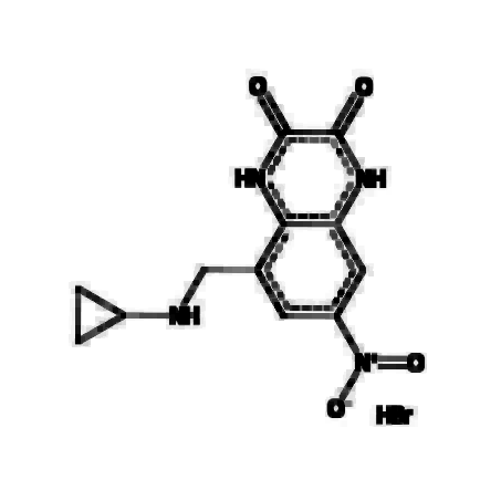 Br.O=c1[nH]c2cc([N+](=O)[O-])cc(CNC3CC3)c2[nH]c1=O